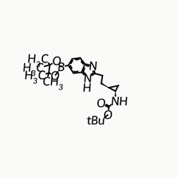 CC(C)(C)OC(=O)N[C@@H]1C[C@@H]1CCc1nc2ccc(B3OC(C)(C)C(C)(C)O3)cc2[nH]1